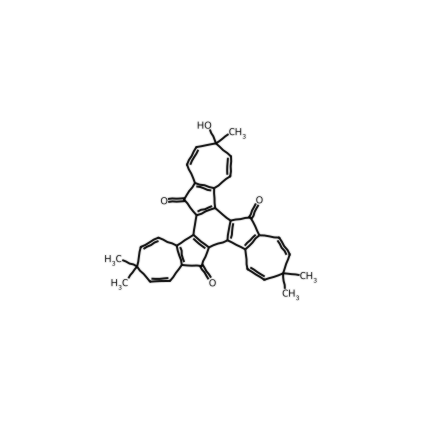 CC1(C)C=Cc2c(c3c4c(=O)c5c(c4c4c(=O)c6c(c4c3c2=O)C=CC(C)(O)C=C6)C=CC(C)(C)C=C5)C=C1